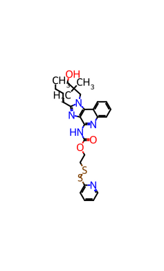 CCCCc1nc2c(NC(=O)OCCSSc3ccccn3)nc3ccccc3c2n1CC(C)(C)CO